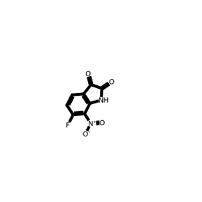 O=C1Nc2c(ccc(F)c2[N+](=O)[O-])C1=O